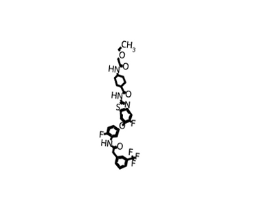 CCOCC(=O)NC1CCC(C(=O)Nc2nc3cc(F)c(Oc4ccc(F)c(NC(=O)Cc5cccc(C(F)(F)F)c5)c4)cc3s2)CC1